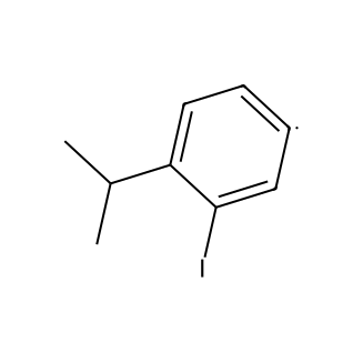 CC(C)c1cc[c]cc1I